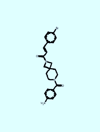 Nc1ccc(C(=O)N2CCC3(CC2)CN(C(=O)/C=C/c2ccc(Br)cc2)C3)cc1